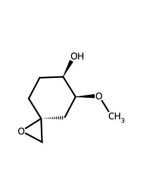 CO[C@H]1C[C@]2(CC[C@H]1O)CO2